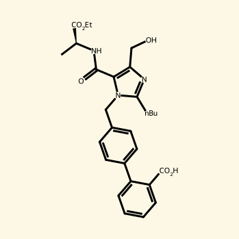 CCCCc1nc(CO)c(C(=O)N[C@@H](C)C(=O)OCC)n1Cc1ccc(-c2ccccc2C(=O)O)cc1